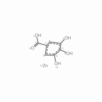 O=C(O)c1cc(O)c(O)c(O)c1.[Zn]